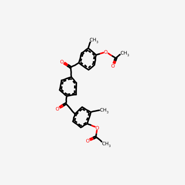 CC(=O)Oc1ccc(C(=O)c2ccc(C(=O)c3ccc(OC(C)=O)c(C)c3)cc2)cc1C